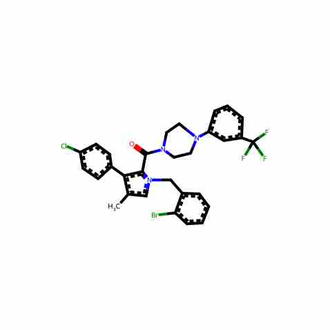 Cc1cn(Cc2ccccc2Br)c(C(=O)N2CCN(c3cccc(C(F)(F)F)c3)CC2)c1-c1ccc(Cl)cc1